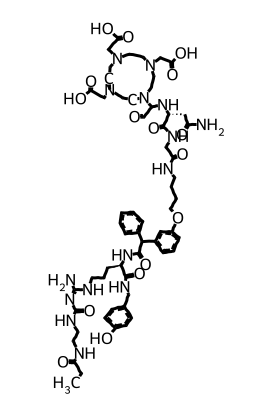 CCC(=O)NCCNC(=O)/N=C(/N)NCCC[C@@H](NC(=O)C(c1ccccc1)c1cccc(OCCCCNC(=O)CNC(=O)[C@@H](CC(N)=O)NC(C=O)N2CCN(CC(=O)O)CCN(CC(=O)O)CCN(CC(=O)O)CC2)c1)C(=O)NCc1ccc(O)cc1